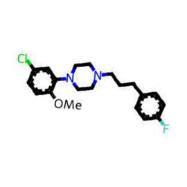 COc1ccc(Cl)cc1N1CCN(CCCc2ccc(F)cc2)CC1